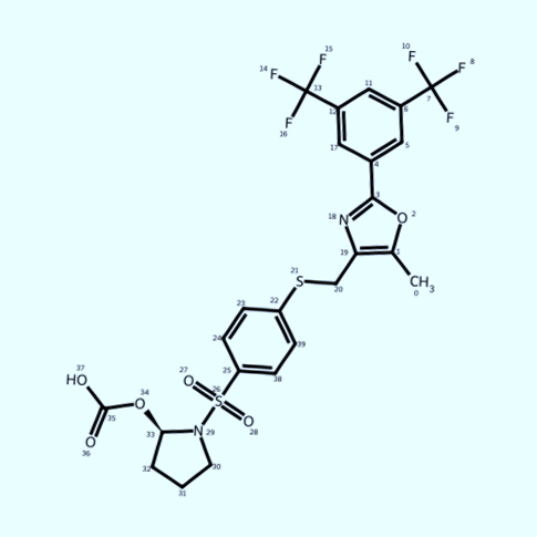 Cc1oc(-c2cc(C(F)(F)F)cc(C(F)(F)F)c2)nc1CSc1ccc(S(=O)(=O)N2CCC[C@H]2OC(=O)O)cc1